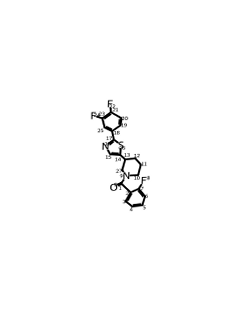 O=C(c1ccccc1F)N1CCCC(c2cnc(-c3ccc(F)c(F)c3)s2)C1